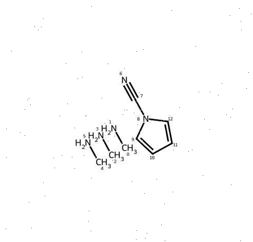 CN.CN.CN.N#Cn1cccc1